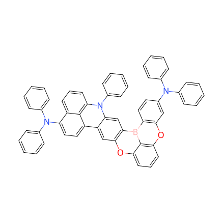 c1ccc(N(c2ccccc2)c2ccc3c(c2)Oc2cccc4c2B3c2cc3c(cc2O4)-c2ccc(N(c4ccccc4)c4ccccc4)c4cccc(c24)N3c2ccccc2)cc1